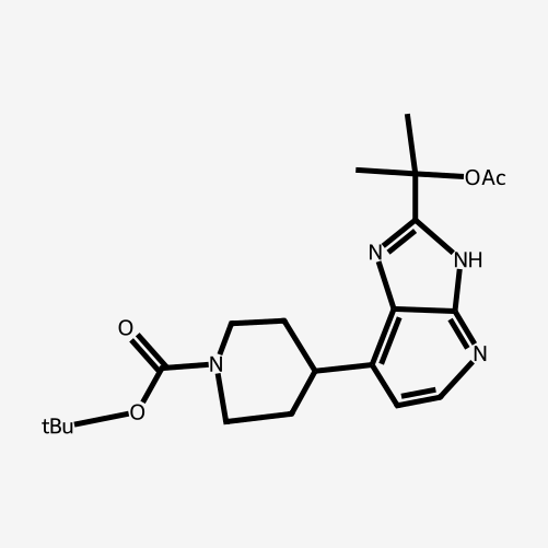 CC(=O)OC(C)(C)c1nc2c(C3CCN(C(=O)OC(C)(C)C)CC3)ccnc2[nH]1